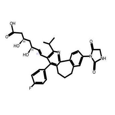 CC(C)c1nc2c(c(-c3ccc(F)cc3)c1/C=C/[C@@H](O)C[C@@H](O)CC(=O)O)CCCc1cc(N3C(=O)CNC3=O)ccc1-2